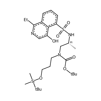 CCc1ncc(O)c2c(S(=O)(=O)N[C@H](C)CN(CCCO[Si](C)(C)C(C)(C)C)C(=O)OC(C)(C)C)cccc12